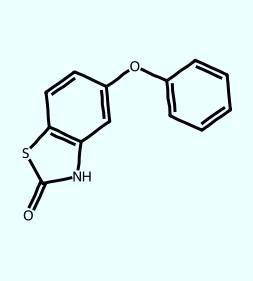 O=c1[nH]c2cc(Oc3ccccc3)ccc2s1